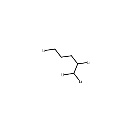 [Li][CH2]CC[CH]([Li])[CH]([Li])[Li]